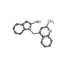 Cc1cc(Cn2c([NH])cc3ccccc32)c2ccccc2n1